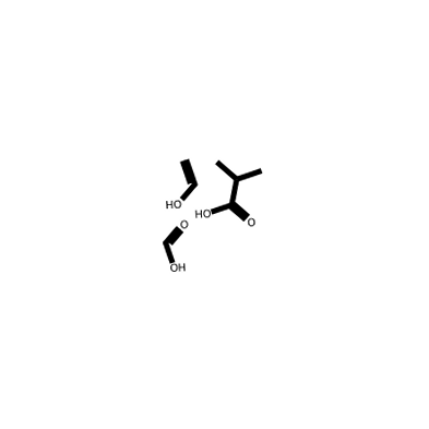 C=CO.CC(C)C(=O)O.O=CO